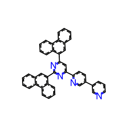 c1cncc(-c2ccc(-c3cc(-c4cc5ccccc5c5ccccc45)nc(-c4cc5ccccc5c5ccccc45)n3)nc2)c1